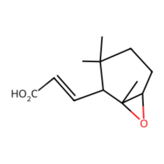 CC1(C)CCC2OC2(C)C1C=CC(=O)O